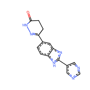 O=C1CCC(c2ccc3[nH]c(-c4cncnc4)nc3c2)=NN1